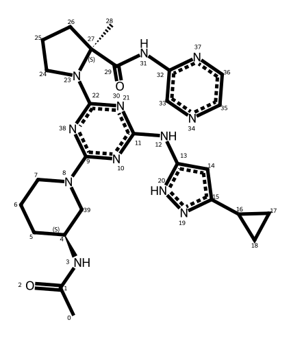 CC(=O)N[C@H]1CCCN(c2nc(Nc3cc(C4CC4)n[nH]3)nc(N3CCC[C@@]3(C)C(=O)Nc3cnccn3)n2)C1